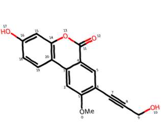 COc1cc2c(cc1C#CCO)c(=O)oc1cc(O)ccc12